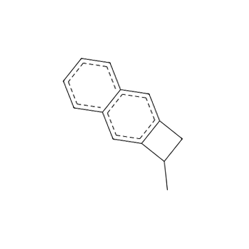 CC1Cc2cc3ccccc3cc21